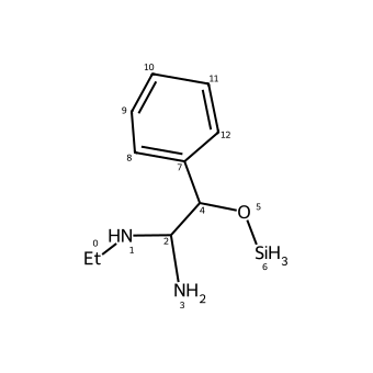 CCNC(N)C(O[SiH3])c1ccccc1